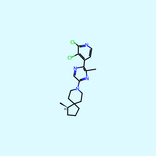 Cc1nc(N2CCC3(CCC[C@H]3C)CC2)cnc1-c1ccnc(Cl)c1Cl